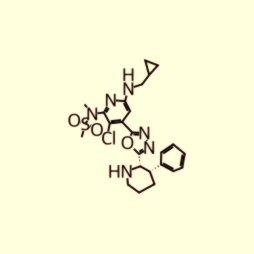 CN(c1nc(NCC2CC2)cc(-c2nnc([C@H]3NCCC[C@H]3c3ccccc3)o2)c1Cl)S(C)(=O)=O